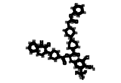 Nc1c(Cl)cc(C[C@@H](OC(=O)N2CCC(N3CCc4ccccc4NC3=O)CC2)C(=O)N2CCC(C3CCN(CC(=O)Oc4ccccc4)CC3)CC2)cc1C(F)(F)F